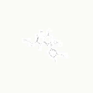 CN1C(=O)C[C@@](C)(c2ccc(F)c(N)c2)N=C1NC(=O)OC(C)(C)C